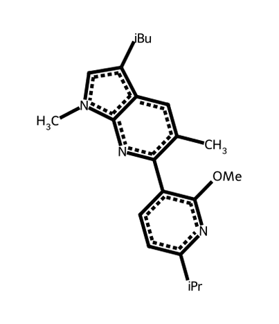 CCC(C)c1cn(C)c2nc(-c3ccc(C(C)C)nc3OC)c(C)cc12